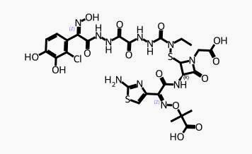 CCN(SC1[C@H](NC(=O)/C(=N\OC(C)(C)C(=O)O)c2csc(N)n2)C(=O)N1CC(=O)O)C(=O)NNC(=O)C(=O)NNC(=O)/C(=N\O)c1ccc(O)c(O)c1Cl